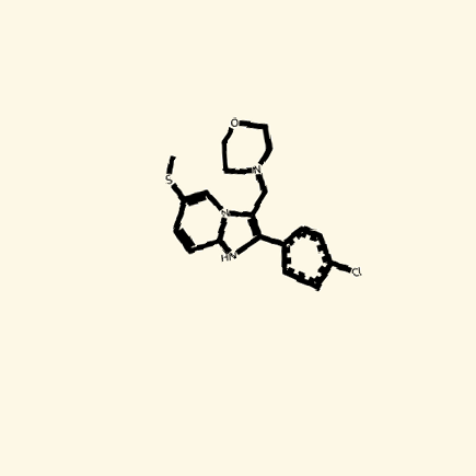 CSC1=CN2C(CN3CCOCC3)=C(c3ccc(Cl)cc3)NC2C=C1